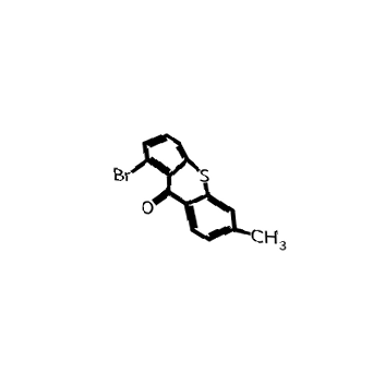 Cc1ccc2c(=O)c3c(Br)cccc3sc2c1